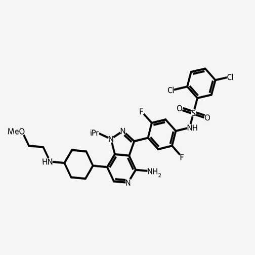 COCCNC1CCC(c2cnc(N)c3c(-c4cc(F)c(NS(=O)(=O)c5cc(Cl)ccc5Cl)cc4F)nn(C(C)C)c23)CC1